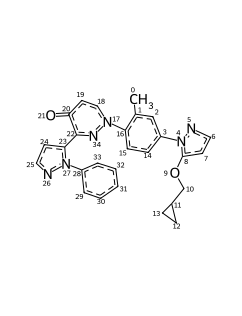 Cc1cc(-n2nccc2OCC2CC2)ccc1-n1ccc(=O)c(-c2ccnn2-c2ccccc2)n1